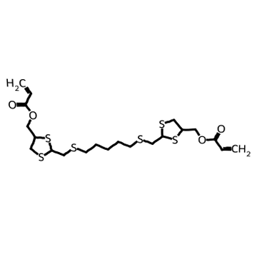 C=CC(=O)OCC1CSC(CSCCCCCSCC2SCC(COC(=O)C=C)S2)S1